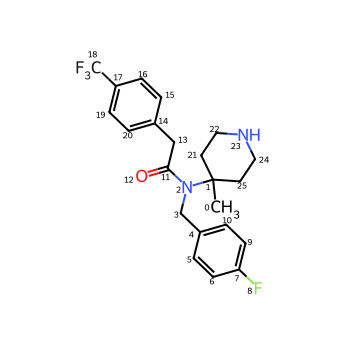 CC1(N(Cc2ccc(F)cc2)C(=O)Cc2ccc(C(F)(F)F)cc2)CCNCC1